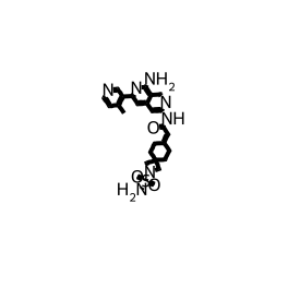 Cc1ccncc1-c1cc2cc(NC(=O)C=C3CCC4(CC3)CN(S(N)(=O)=O)C4)ncc2c(N)n1